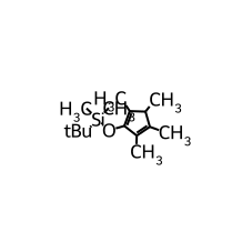 CC1=C(C)C(C)C(C)=C1O[Si](C)(C)C(C)(C)C